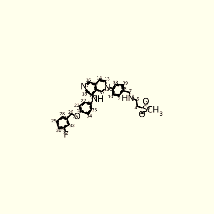 CS(=O)(=O)CCNCc1ccc(N2C=Cc3cncc(Nc4ccc(OCc5cccc(F)c5)cc4)c3C2)cc1